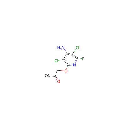 Nc1c(Cl)c(F)nc(OCC(=O)N=O)c1Cl